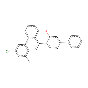 Cc1cc(Cl)cc2c1cc1c3c(cccc32)Oc2cc(-c3ccccc3)ccc2-1